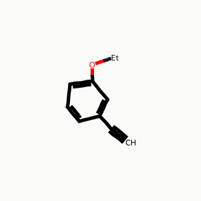 C#Cc1c[c]cc(OCC)c1